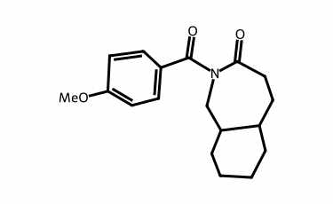 COc1ccc(C(=O)N2CC3CCCCC3CCC2=O)cc1